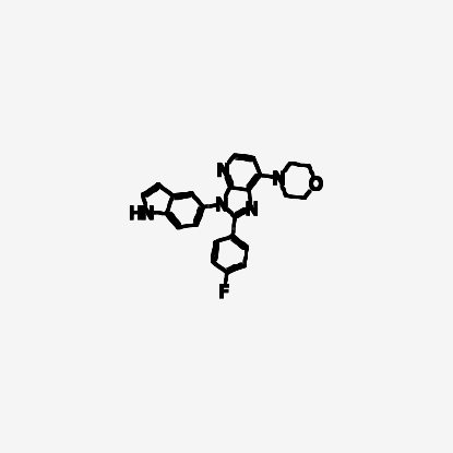 Fc1ccc(-c2nc3c(N4CCOCC4)ccnc3n2-c2ccc3[nH]ccc3c2)cc1